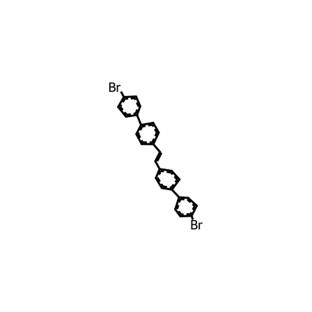 Brc1ccc(-c2ccc(C=Cc3ccc(-c4ccc(Br)cc4)cc3)cc2)cc1